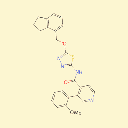 COc1ccccc1-c1cnccc1C(=O)Nc1nnc(OCc2cccc3c2CCC3)s1